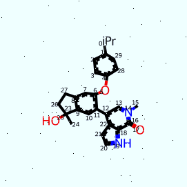 CC(C)c1ccc(Oc2cc3c(cc2-c2cn(C)c(=O)c4[nH]ccc24)C(C)(O)CC3)cc1